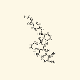 CC[C@H](Nc1ncnc(N)c1C#N)c1nc2cccc(NCc3ccc(C(=O)OC)cn3)c2c(=O)n1-c1ccccc1